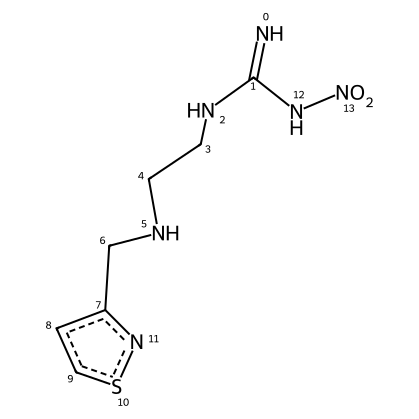 N=C(NCCNCc1ccsn1)N[N+](=O)[O-]